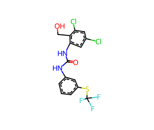 O=C(Nc1cccc(SC(F)(F)F)c1)Nc1cc(Cl)cc(Cl)c1CO